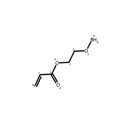 BOCCOC(=O)C=C